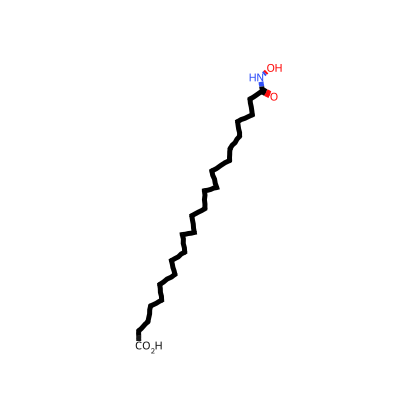 O=C(O)CCCCCCCCCCCCCCCCCCCCCC(=O)NO